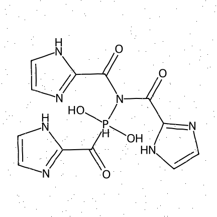 O=C(c1ncc[nH]1)N(C(=O)c1ncc[nH]1)[PH](O)(O)C(=O)c1ncc[nH]1